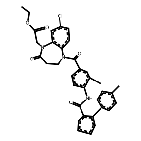 CCOC(=O)CN1C(=O)CCN(C(=O)c2ccc(NC(=O)c3ccccc3-c3ccc(C)cc3)c(C)c2)c2ccc(Cl)cc21